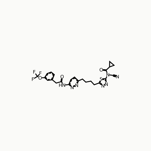 N#CN(C(=O)C1CC1)c1nnc(CCCCc2ccc(NC(=O)Cc3cccc(OC(F)(F)F)c3)nn2)s1